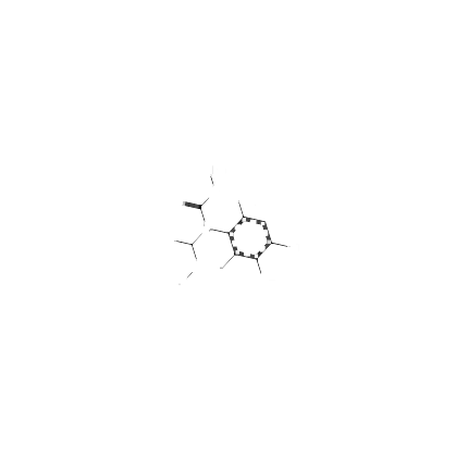 CCOC(=O)c1cc(Cl)c(C)c(Cl)c1N(C(=O)OC(C)(C)C)C(O)OC(C)(C)C